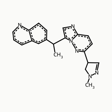 CC(c1ccc2ncccc2c1)c1cnc2ccc(C3C=NN(C)C3)nn12